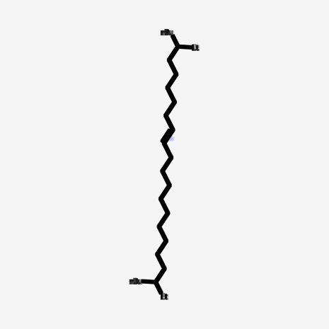 [CH2]CCCC(CC)CCCCC/C=C/CCCCCCCCCC(CC)CCC[CH2]